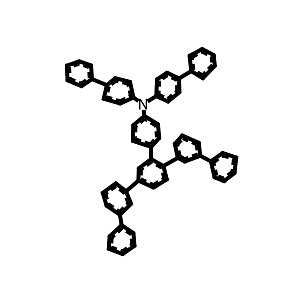 c1ccc(-c2ccc(N(c3ccc(-c4ccccc4)cc3)c3ccc(-c4cc(-c5cccc(-c6ccccc6)c5)ccc4-c4cccc(-c5ccccc5)c4)cc3)cc2)cc1